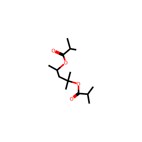 CC(CC(C)(C)OC(=O)C(C)C)OC(=O)C(C)C